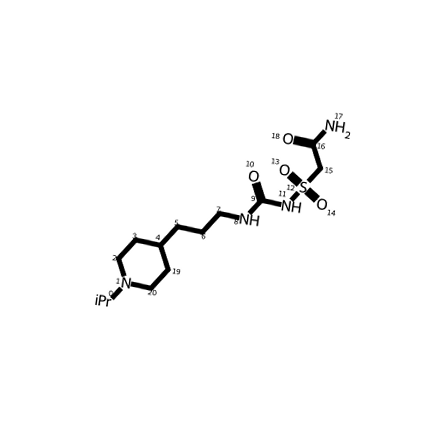 CC(C)N1CCC(CCCNC(=O)NS(=O)(=O)CC(N)=O)CC1